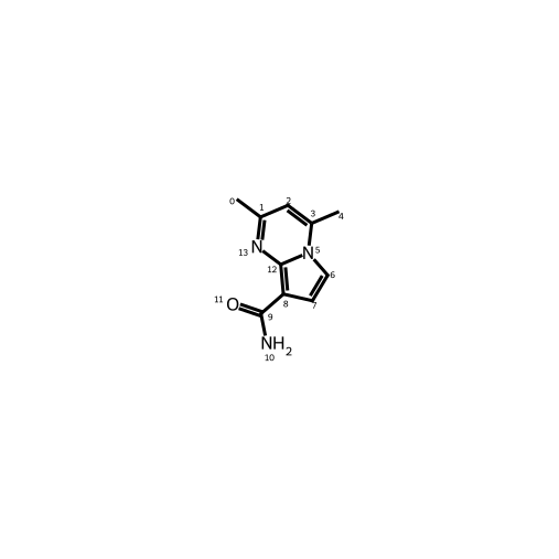 Cc1cc(C)n2ccc(C(N)=O)c2n1